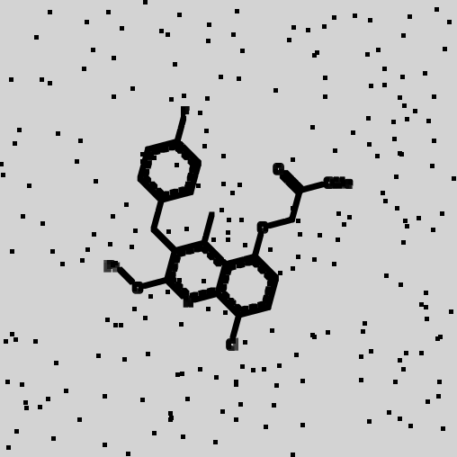 COC(=O)COc1ccc(Cl)c2nc(OC(C)C)c(Cc3ccc(F)cc3)c(C)c12